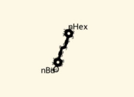 CCCCCCc1ccc(C#C/C=C/C#Cc2ccc(OCCCC)cc2)cc1